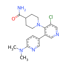 CN(C)c1ccc(-c2cncc(Cl)c2N2CCC(C(N)=O)CC2)cn1